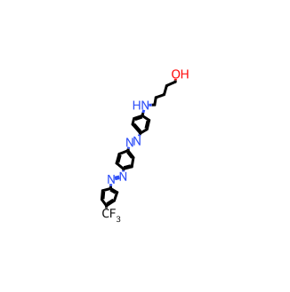 OCCCCCNc1ccc(N=Nc2ccc(N=Nc3ccc(C(F)(F)F)cc3)cc2)cc1